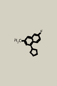 Cc1cc(C2CCCC2)c2ccc(F)cc2c1